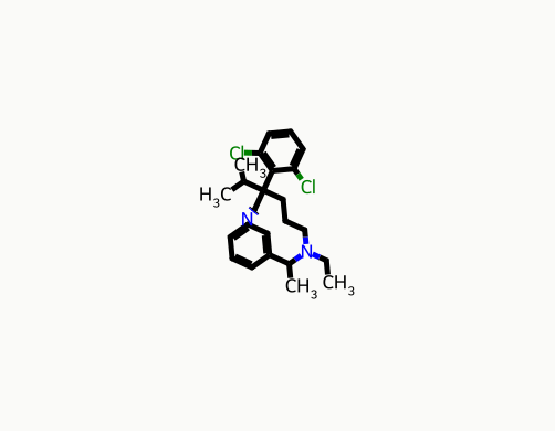 CCN(CCCC(C#N)(c1c(Cl)cccc1Cl)C(C)C)C(C)c1ccccc1